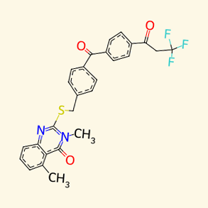 Cc1cccc2nc(SCc3ccc(C(=O)c4ccc(C(=O)CC(F)(F)F)cc4)cc3)n(C)c(=O)c12